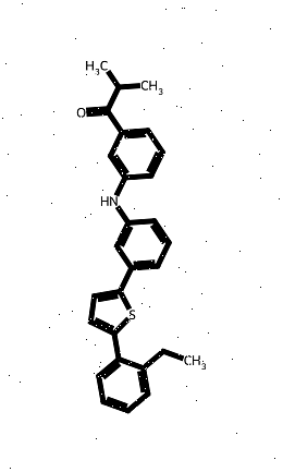 CCc1ccccc1-c1ccc(-c2cccc(Nc3cccc(C(=O)C(C)C)c3)c2)s1